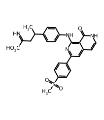 CC(CC(=N)C(=O)O)c1ccc(Nc2nc(-c3ccc(S(C)(=O)=O)cc3)cc3cc[nH]c(=O)c23)cc1